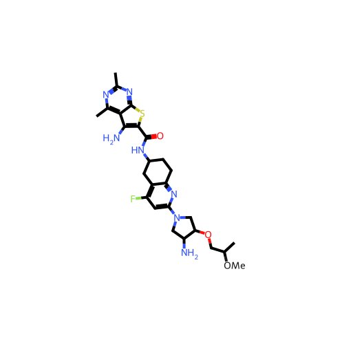 COC(C)COC1CN(c2cc(F)c3c(n2)CCC(NC(=O)c2sc4nc(C)nc(C)c4c2N)C3)CC1N